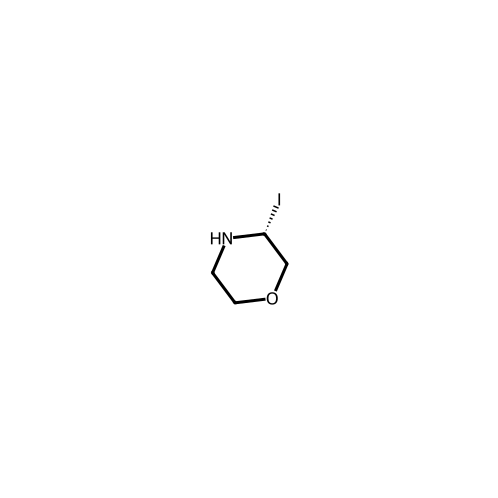 I[C@@H]1COCCN1